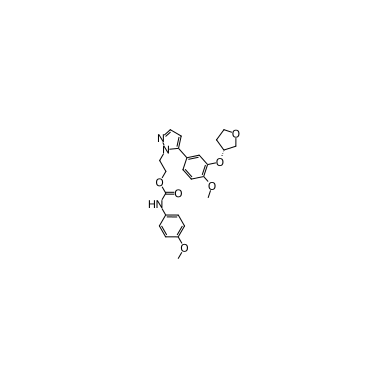 COc1ccc(NC(=O)OCCn2nccc2-c2ccc(OC)c(O[C@@H]3CCOC3)c2)cc1